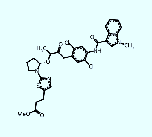 COC(=O)CCc1cnc(N2CCC[C@@H]2OC(C)C(=O)Cc2cc(Cl)c(NC(=O)c3cn(C)c4ccccc34)cc2Cl)s1